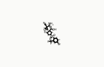 CO[C@@H]1C[C@H](S(=O)(=O)c2ccc(Br)cc2C(F)(F)F)C[C@@]1(C(=O)O)C1CC1(C#N)C(N)=O